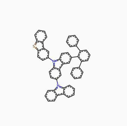 c1ccc(-c2cccc(-c3ccccc3)c2-c2ccc3c(c2)c2cc(-n4c5ccccc5c5ccccc54)ccc2n3-c2ccc3sc4ccccc4c3c2)cc1